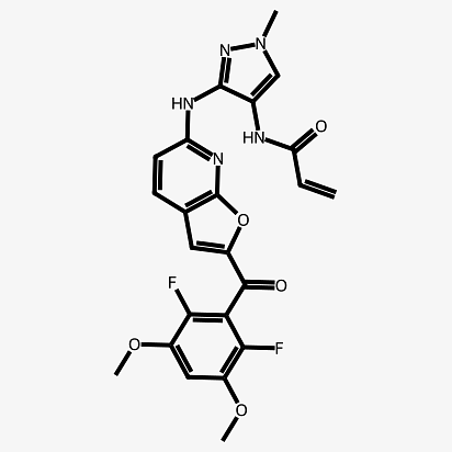 C=CC(=O)Nc1cn(C)nc1Nc1ccc2cc(C(=O)c3c(F)c(OC)cc(OC)c3F)oc2n1